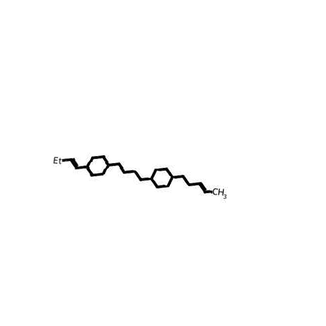 CC=CCCC1CCC(CCCCC2CCC(C=CCC)CC2)CC1